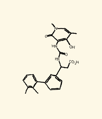 Cc1cccc(-c2cccc(C(CC(=O)O)NC(=O)Nc3c(O)c(C)cn(C)c3=O)c2)c1C